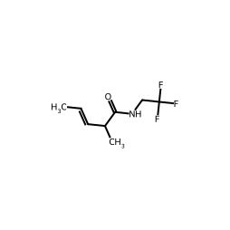 C/C=C/C(C)C(=O)NCC(F)(F)F